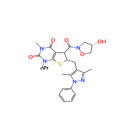 CCCn1c2c(c(=O)n(C)c1=O)C(C(=O)N1C[C@H](O)CO1)C(Cc1c(C)nn(-c3ccccc3)c1C)S2